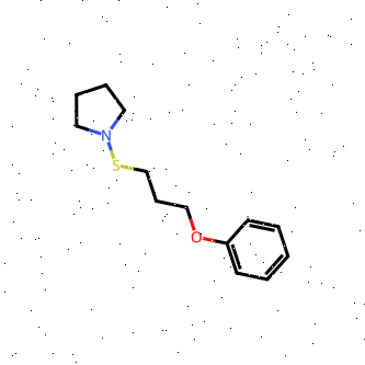 [c]1ccccc1OCCCSN1CCCC1